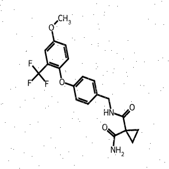 COc1ccc(Oc2ccc(CNC(=O)C3(C(N)=O)CC3)cc2)c(C(F)(F)F)c1